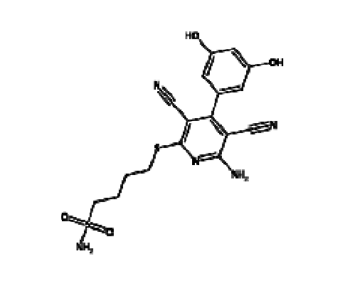 N#Cc1c(N)nc(SCCCCS(N)(=O)=O)c(C#N)c1-c1cc(O)cc(O)c1